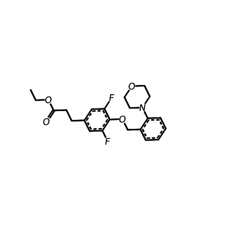 CCOC(=O)CCc1cc(F)c(OCc2ccccc2N2CCOCC2)c(F)c1